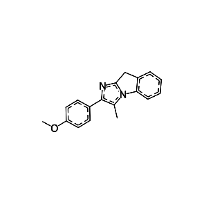 COc1ccc(-c2nc3n(c2C)-c2ccccc2C3)cc1